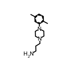 Cc1ccc(C)c(N2CCN(CCCN)CC2)c1